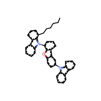 CCCCCCc1cccc2c3ccccc3n(-c3cccc4c3oc3ccc(-n5c6ccccc6c6ccccc65)cc34)c12